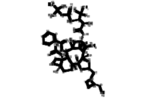 CC(=O)O[C@@]12CO[C@@H]1CC[C@@]1(C)[C@@H]3O[C@H](CN4CC[C@H]4CO)O[C@@H]3C3=C(C)[C@@H](OC(=O)[C@H](O)[C@@H](NC(=O)OC(C)(C)C)C(C)(F)F)C[C@@](O)([C@@H](OC(=O)c4ccccc4)[C@@H]12)C3(C)C